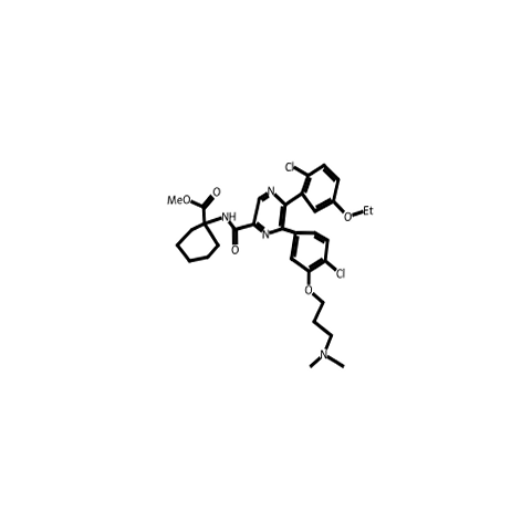 CCOc1ccc(Cl)c(-c2ncc(C(=O)NC3(C(=O)OC)CCCCC3)nc2-c2ccc(Cl)c(OCCCN(C)C)c2)c1